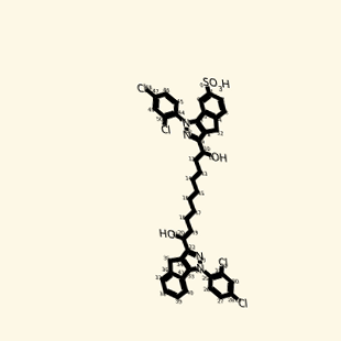 O=S(=O)(O)c1ccc2c(c1)-c1c(c(C(O)CCCCCCCCC(O)c3nn(-c4ccc(Cl)cc4Cl)c4c3Cc3ccccc3-4)nn1-c1ccc(Cl)cc1Cl)C2